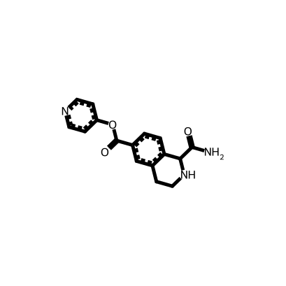 NC(=O)C1NCCc2cc(C(=O)Oc3ccncc3)ccc21